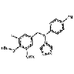 CCCCOc1c(I)cc(CN(c2ccc(C#N)cc2)n2cnnc2)cc1OC